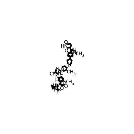 C[C@@H]1CN(c2ncc(Cl)c(Nc3cc4c5c(c(=O)n(C)c4cc3F)OCC(F)(F)[C@H](C3CC3)N5)n2)CC[C@@H]1CN1CCC(c2ccc3c(C4CCC(=O)NC4=O)nn(C)c3c2)CC1